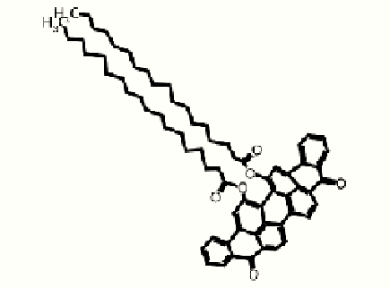 CCCCCCCCCCCCCCCCCC(=O)Oc1cc2c3c(ccc4c5ccc6c7c(cc(OC(=O)CCCCCCCCCCCCCCCCC)c(c1c34)c75)-c1ccccc1C6=O)C(=O)c1ccccc1-2